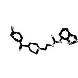 O=C(Nc1cccc2cn[nH]c12)OCCN1CCC(C(=O)c2ccc(Br)cc2)CC1